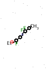 CCOCc1ccc(-c2ccc(/C=C/c3ccc(-c4ccc(C)cc4)c(F)c3F)cc2)cc1F